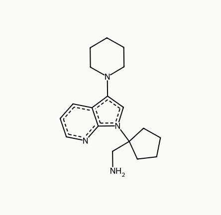 NCC1(n2cc(N3CCCCC3)c3cccnc32)CCCC1